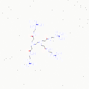 N=C(N)NCCNC(=O)CCN(CCC(=O)NCCNC(=N)N)CCN(CCC(=O)NCCNC(=N)N)CCC(=O)NCCNC(=N)N